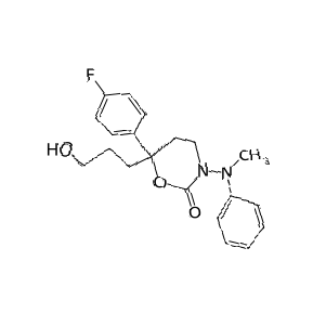 CN(c1ccccc1)N1CCC(CCCO)(c2ccc(F)cc2)OC1=O